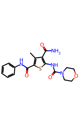 Cc1c(C(=O)Nc2ccccc2)sc(NC(=O)N2CCOCC2)c1C(N)=O